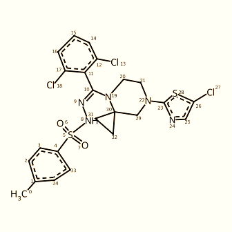 Cc1ccc(S(=O)(=O)N/N=C(/c2c(Cl)cccc2Cl)N2CCN(c3ncc(Cl)s3)CC23CC3)cc1